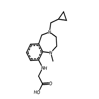 CN1CCN(CC2CC2)Cc2cccc(NCC(=O)O)c21